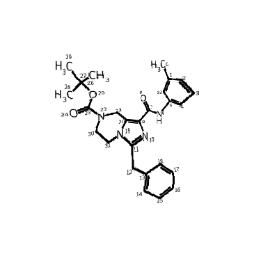 Cc1cccc(NC(=O)c2nc(Cc3ccccc3)n3c2CN(C(=O)OC(C)(C)C)CC3)c1